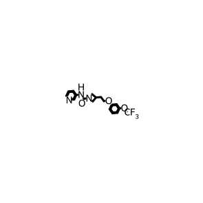 O=C(Nc1cccnc1)N1CC(CCOc2cccc(OC(F)(F)F)c2)C1